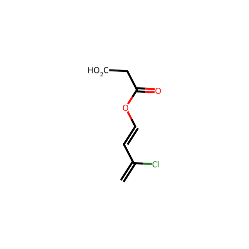 C=C(Cl)C=COC(=O)CC(=O)O